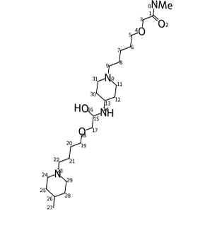 CNC(=O)COCCCCCN1CCC(NC(O)COCCCCN2CCC(C)CC2)CC1